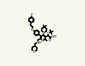 Cc1nc(CNCC2CCOCC2)c(-c2ccc(OCCc3ccc(F)cc3)cc2)c(N2CCC(C)(C)CC2)c1C(OC(C)(C)C)C(=O)O